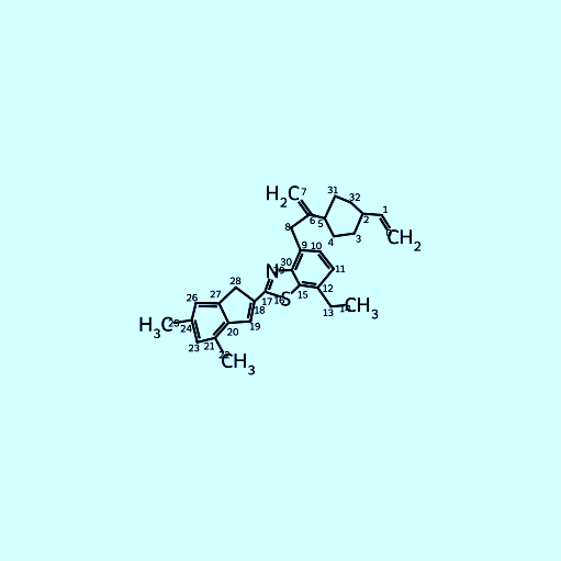 C=CC1CCC(C(=C)Cc2ccc(CC)c3sc(C4=Cc5c(C)cc(C)cc5C4)nc23)CC1